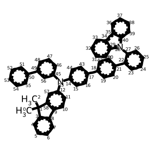 CC1(C)c2ccccc2-c2ccc(N(c3ccc(-c4ccc(-c5ccccc5-n5c6ccccc6c6ccccc65)cc4)cc3)c3cccc(-c4ccccc4)c3)cc21